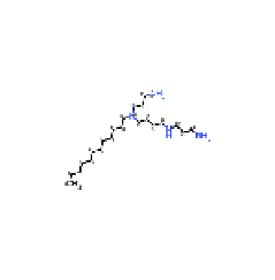 CCCCCCCCCCCCN(CCCN)CCCCNCCCN